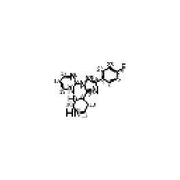 Fc1ccc(-c2nc(C3CCNCC3)n(C3N=CC=CN3)n2)cc1